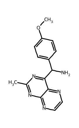 COc1ccc(C(N)c2nc(C)nc3nccnc23)cc1